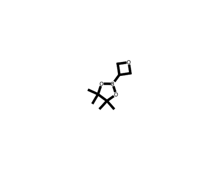 CC1(C)OB(C2COC2)OC1(C)C